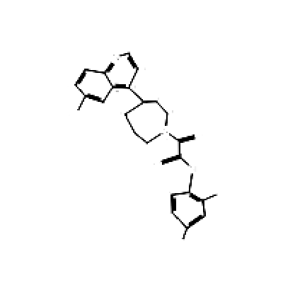 O=C(Nc1ccc(Cl)cc1F)C(=O)N1CCCC(c2ccnc3ccc(F)cc23)CC1